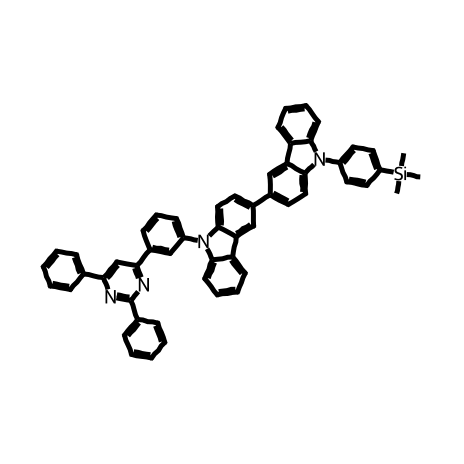 C[Si](C)(C)c1ccc(-n2c3ccccc3c3cc(-c4ccc5c(c4)c4ccccc4n5-c4cccc(-c5cc(-c6ccccc6)nc(-c6ccccc6)n5)c4)ccc32)cc1